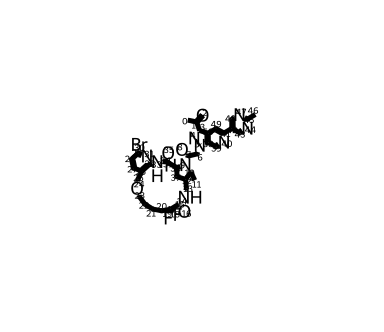 CC(=O)c1nn(CC(=O)N2C3C[C@@]34CNC(=O)C(F)(F)CCCCOCc3ccc(Br)nc3NC(=O)[C@@H]2C4)c2cnc(-c3cnc(C)nc3)cc12